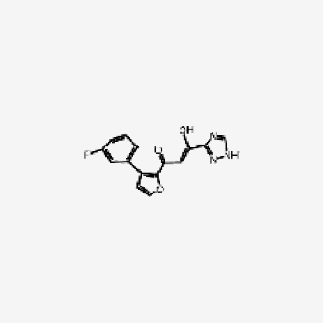 O=C(C=C(O)c1nc[nH]n1)c1occc1-c1cccc(F)c1